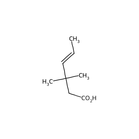 CC=CC(C)(C)CC(=O)O